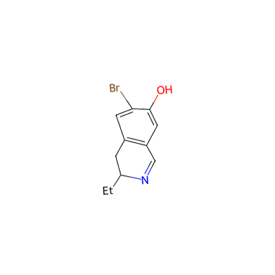 CCC1Cc2cc(Br)c(O)cc2C=N1